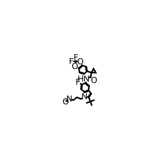 CC(C)(C)c1cc2cc(NC(=O)C3(c4ccc5c(c4)OC(F)(F)O5)CC3)c(F)cc2n1CCCN=O